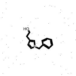 OCCc1ccn(Cc2ccccc2)c1